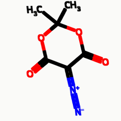 CC1(C)OC(=O)C(=[N+]=[N-])C(=O)O1